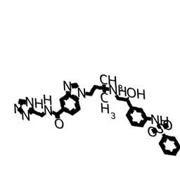 CC(C)(CCn1cnc2cc(C(=O)NCc3nnc[nH]3)ccc21)NC[C@H](O)c1cccc(NS(=O)(=O)c2ccccc2)c1